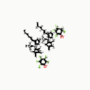 CCCC/C=C/C1=[C]([Hf+]([C]2=C(C)C(C)=C(C)C2C)[SiH](C)C)CC=C1.CCCC/C=C/C1=[C]([Hf+]([C]2=C(C)C(C)=C(C)C2C)[SiH](C)C)CC=C1.[O-]c1c(F)c(F)c(F)c(F)c1F.[O-]c1c(F)c(F)c(F)c(F)c1F